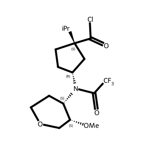 CO[C@@H]1COCC[C@@H]1N(C(=O)C(F)(F)F)[C@@H]1CC[C@@](C(=O)Cl)(C(C)C)C1